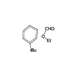 CCC(C)c1ccccc1.CCOC=O